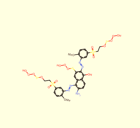 COc1ccc(S(=O)(=O)CCOSOOO)cc1/N=N/c1c(SOOO)cc2c(/N=N/c3cc(S(=O)(=O)CCOSOOO)ccc3OC)c(N)ccc2c1O